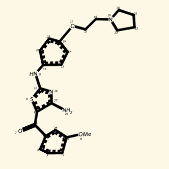 COc1cccc(C(=O)c2sc(Nc3ccc(OCCN4CCCC4)cc3)nc2N)c1